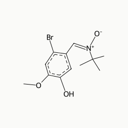 COc1cc(Br)c(/C=[N+](/[O-])C(C)(C)C)cc1O